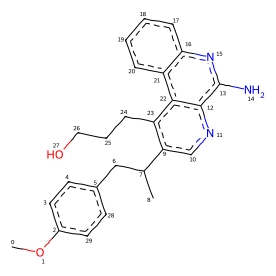 COc1ccc(CC(C)c2cnc3c(N)nc4ccccc4c3c2CCCO)cc1